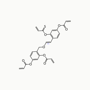 C=CC(=O)Oc1ccc(/C=C/OCc2ccc(OC(=O)C=C)cc2OC(=O)C=C)c(OC(=S)C=C)c1